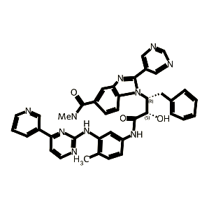 CNC(=O)c1ccc2c(c1)nc(-c1cncnc1)n2[C@H](Cc1ccccc1)[C@H](O)C(=O)Nc1ccc(C)c(Nc2nccc(-c3cccnc3)n2)c1